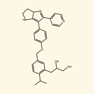 CC(C)c1ccc(COc2ccc(-c3c(-c4ccncc4)nn4c3NCC4)cc2)cc1CC(O)CO